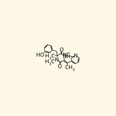 CC(=C1NC(=O)C(C)(Cc2cccc(O)c2)N(C)C1=O)c1cccnc1C#N